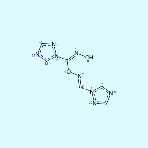 ON=C(ON=Cn1cncn1)n1cncn1